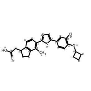 Cc1c(-c2ncc(-c3ccc(OC4CCC4)c(Cl)c3)s2)ccc2c1CCC2CC(=O)O